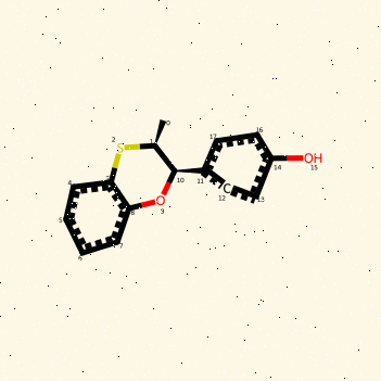 C[C@@H]1Sc2ccccc2O[C@@H]1c1ccc(O)cc1